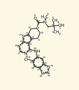 CN(CC(C)(C)O)C(=O)[C@H]1CCc2c(sc3ncnc(Nc4cc5snnc5cc4Cl)c23)C1